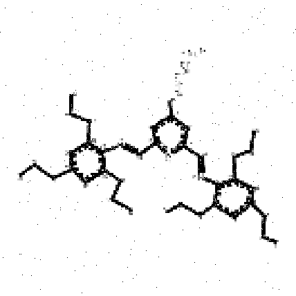 CCCc1cc(CCC)c(N=Cc2cc(C)cc(C=Nc3c(CCC)cc(CCC)cc3CCC)n2)c(CCC)c1.[Cl-].[Cl-].[Cl-].[Nd+3]